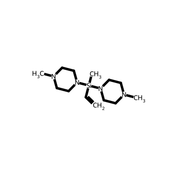 C=C[Si](C)(N1CCN(C)CC1)N1CCN(C)CC1